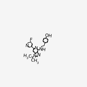 CC(C)n1cnc2c(NCCc3ccc(O)cc3)nc(C3=CC(F)CN=C3)cc21